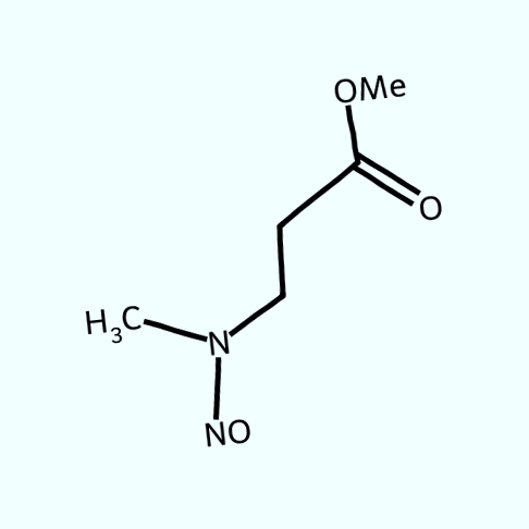 COC(=O)CCN(C)N=O